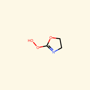 OOC1=NCCO1